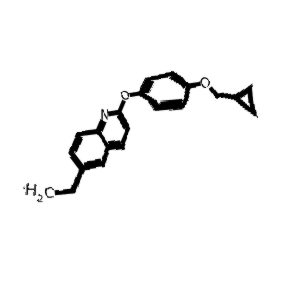 [CH2]Cc1ccc2nc(Oc3ccc(OCC4CC4)cc3)ccc2c1